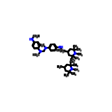 CC1CC(C)(C)N(C)C(C)(C)C1.CC1CC(C)(C)N(C)C(C)(C)C1.O=C(O)Nc1ccc(N(CN(C(=O)O)c2ccc(NC(=O)O)cc2)C(=O)O)cc1